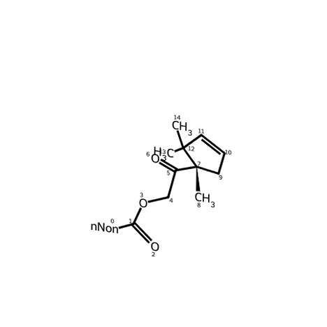 CCCCCCCCCC(=O)OCC(=O)[C@@]1(C)CC=CC1(C)C